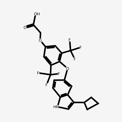 O=C(O)COc1cc(C(F)(F)F)c(Oc2ccc3[nH]cc(C4CCC4)c3c2)c(C(F)(F)F)c1